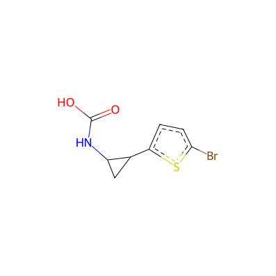 O=C(O)NC1CC1c1ccc(Br)s1